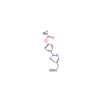 CCCCCCCCCCCc1cnc(-c2ccc(OC(=O)[C@@H](C)CC)cc2)nc1